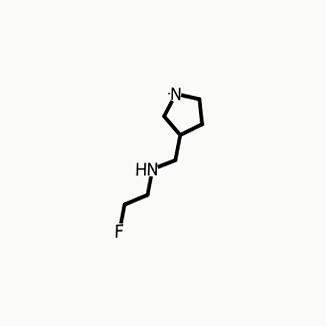 FCCNCC1CC[N]C1